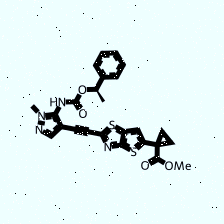 COC(=O)C1(c2cc3sc(C#Cc4cnn(C)c4NC(=O)O[C@H](C)c4ccccc4)nc3s2)CC1